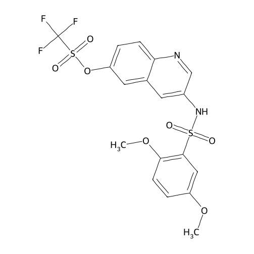 COc1ccc(OC)c(S(=O)(=O)Nc2cnc3ccc(OS(=O)(=O)C(F)(F)F)cc3c2)c1